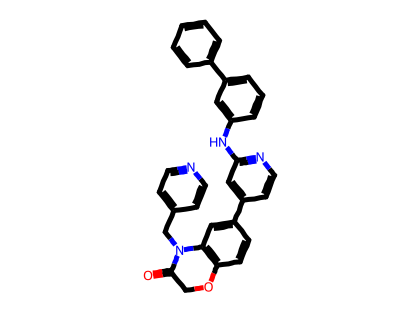 O=C1COc2ccc(-c3ccnc(Nc4cccc(-c5ccccc5)c4)c3)cc2N1Cc1ccncc1